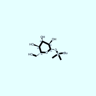 CC(C)(C)[Si](C)(C)O[C@@H]1O[C@H](CO)[C@@H](O)[C@H](O)[C@H]1O